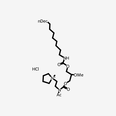 CCCCCCCCCCCCCCCCCCNC(=O)OCC(COC(=O)N(CC[N+]1(C)CCCC1)C(C)=O)OC.Cl